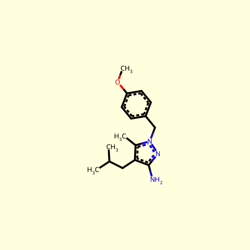 COc1ccc(Cn2nc(N)c(CC(C)C)c2C)cc1